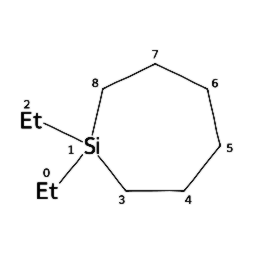 CC[Si]1(CC)CCCCCC1